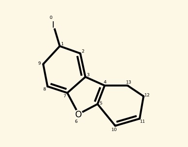 IC1C=c2c3c(oc2=CC1)C=CCC3